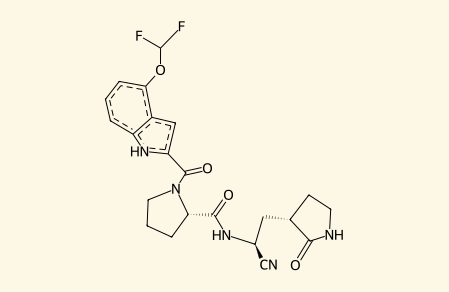 N#C[C@H](C[C@@H]1CCNC1=O)NC(=O)[C@@H]1CCCN1C(=O)c1cc2c(OC(F)F)cccc2[nH]1